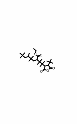 CCOC(=O)C(CC(C)(C)C(C)CC(C)(C)C)C(C)(C)C(C)(C)C1C(=O)OC(=O)C1C(C)(C)C